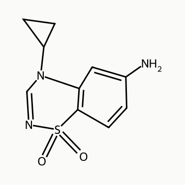 Nc1ccc2c(c1)N(C1CC1)C=NS2(=O)=O